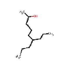 CCCC(CCC)CCCC(C)O